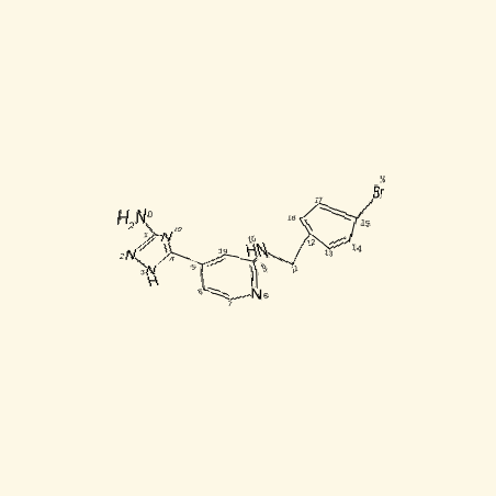 Nc1n[nH]c(-c2ccnc(NCc3ccc(Br)cc3)c2)n1